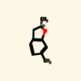 Cc1ccc2c(c1)O[C@@H](C)C2